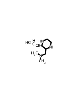 CN(C)CC1CNCCN1.Cl.Cl.Cl